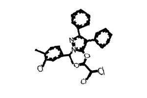 Cc1ccc(C(C)n2nc(-c3ccccc3)c(-c3ccccc3)c2OC(=O)C(Cl)Cl)cc1Cl